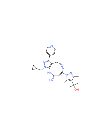 Cc1nn(C2=C/C(=N)Nc3c(c(-c4ccncc4)nn3CC3CC3)C/C=N\2)c(C)c1C(C)(C)O